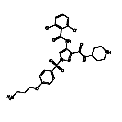 NCCCOc1ccc(S(=O)(=O)n2cc(NC(=O)c3c(Cl)cccc3Cl)c(C(=O)NC3CCNCC3)n2)cc1